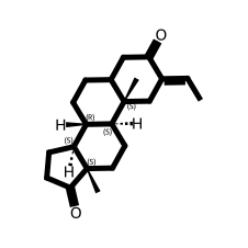 CC=C1C[C@@]2(C)C(CC[C@@H]3[C@@H]2CC[C@]2(C)C(=O)CC[C@@H]32)CC1=O